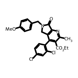 CCOC(=O)c1c(C)nc2c(c1-c1ccc(Cl)cc1Cl)CN(Cc1ccc(OC)cc1)C2=O